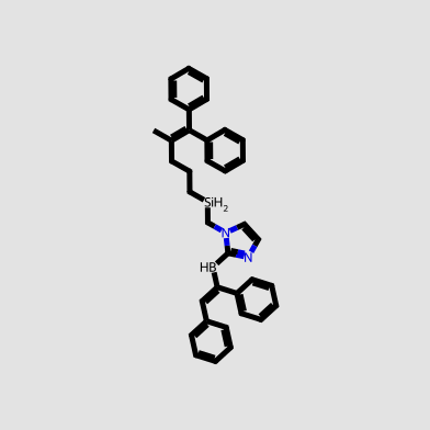 CC(CCC[SiH2]Cn1ccnc1BC(=Cc1ccccc1)c1ccccc1)=C(c1ccccc1)c1ccccc1